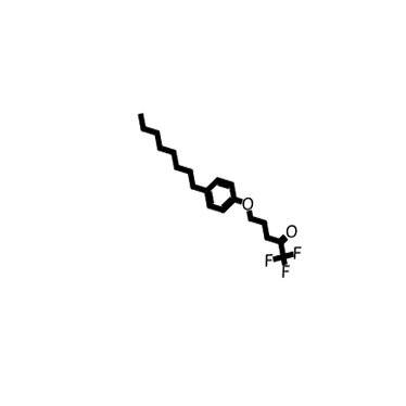 CCCCCCCCc1ccc(OCCCC(=O)C(F)(F)F)cc1